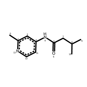 Cc1cc(NC(=O)CC(C)C)ccn1